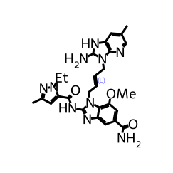 CCn1nc(C)cc1C(=O)Nc1nc2cc(C(N)=O)cc(OC)c2n1C/C=C/CN1c2ncc(C)cc2NC1N